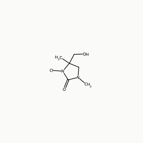 CN1CC(C)(CO)N(Cl)C1=O